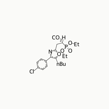 CCCCc1oc(CC(C(=O)O)P(=O)(OCC)OCC)nc1-c1ccc(Cl)cc1